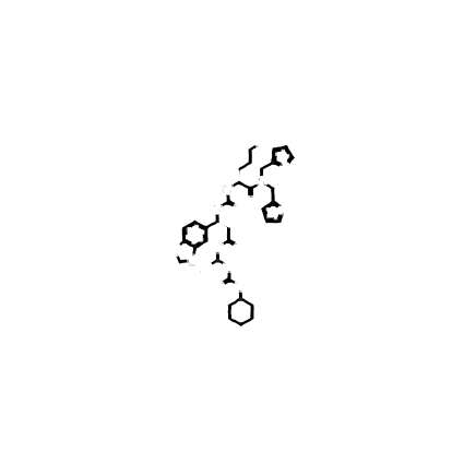 CCCC[C@H](NC(=O)N[C@@H](CC(=O)OC(C)OC(=O)OC1CCCCC1)c1ccc2c(c1)OCO2)C(=O)N(Cc1cccs1)Cc1cccs1